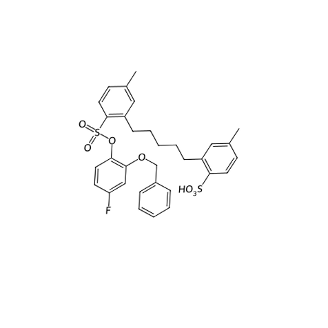 Cc1ccc(S(=O)(=O)O)c(CCCCCc2cc(C)ccc2S(=O)(=O)Oc2ccc(F)cc2OCc2ccccc2)c1